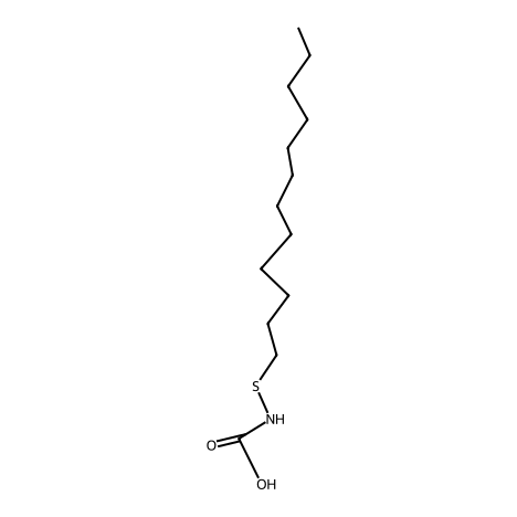 CCCCCCCCCCCCSNC(=O)O